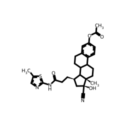 CC(=O)Oc1ccc2c(c1)CCC1C2CC[C@@]2(C)C1[C@H](CCC(=O)Nc1ncc(C)s1)C[C@@]2(O)C#N